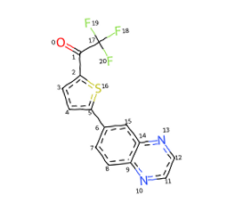 O=C(c1ccc(-c2ccc3nccnc3c2)s1)C(F)(F)F